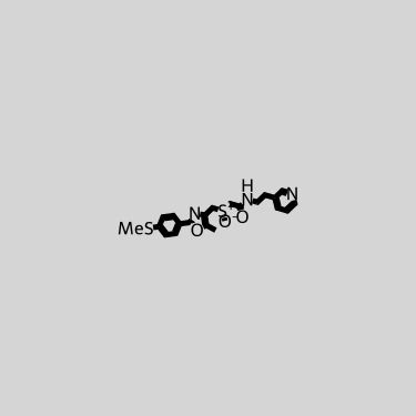 CSc1ccc(-c2nc(C[S+]([O-])CC(=O)NCCc3cccnc3)c(C)o2)cc1